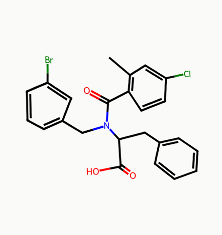 Cc1cc(Cl)ccc1C(=O)N(Cc1cccc(Br)c1)C(Cc1ccccc1)C(=O)O